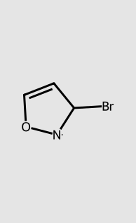 BrC1C=CO[N]1